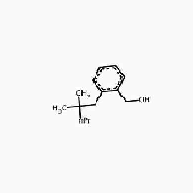 CCCC(C)(C)Cc1ccccc1CO